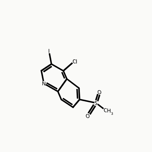 CS(=O)(=O)c1ccc2ncc(I)c(Cl)c2c1